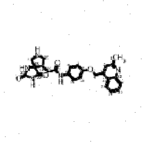 Cc1cc(COc2ccc(NC(=O)CC3CNCC34NC(=O)NC4=O)cc2)c2ccccc2n1